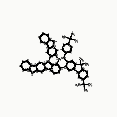 CC(C)(C)c1ccc(Nc2cc3c(cc2-c2ccc4c5cc6oc7ccccc7c6cc5n5c4c2Bc2cc4sc6ccccc6c4cc2-5)-c2cc(C(C)(C)C)ccc2C3(C)C)cc1